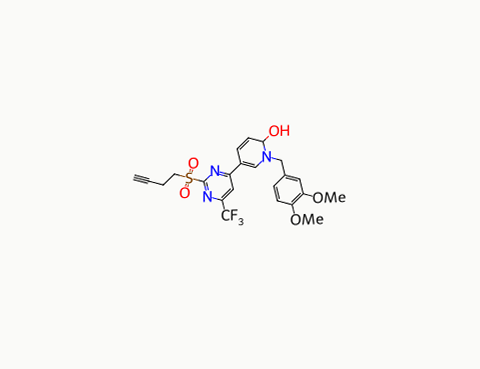 C#CCCS(=O)(=O)c1nc(C2=CN(Cc3ccc(OC)c(OC)c3)C(O)C=C2)cc(C(F)(F)F)n1